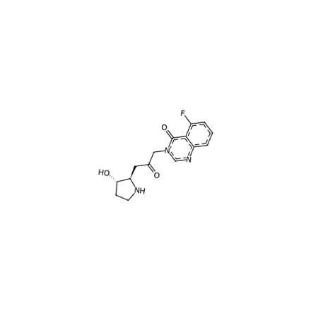 O=C(C[C@H]1NCC[C@@H]1O)Cn1cnc2cccc(F)c2c1=O